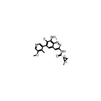 COc1cncc(-c2cc3cc(NC(=O)[C@@H]4C[C@H]4C)nnc3c(N)c2F)c1C